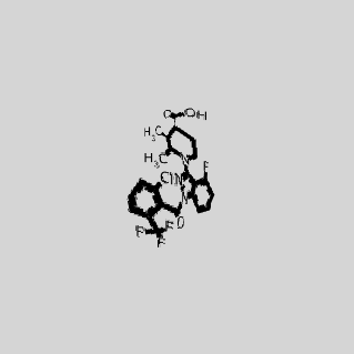 CC1[C@@H](C)[C@H](C(=O)O)CCN1c1nn(C(=O)c2c(Cl)cccc2C(F)(F)F)c2cccc(F)c12